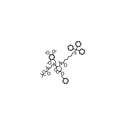 COc1cc(OC)c(OC)cc1CN(CCN(C)C(=O)OC(C)(C)C)C(=O)[C@H](CC(=O)OCc1ccccc1)N(C)C(=O)CCCCCSC(c1ccccc1)(c1ccccc1)c1ccccc1